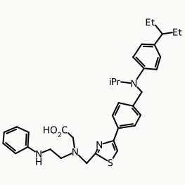 CCC(CC)c1ccc(N(Cc2ccc(-c3csc(CN(CCNc4ccccc4)CC(=O)O)n3)cc2)C(C)C)cc1